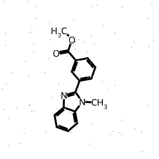 COC(=O)c1cccc(-c2nc3ccccc3n2C)c1